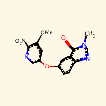 COc1cc(Oc2ccc3ncn(C)c(=O)c3c2)cnc1[N+](=O)[O-]